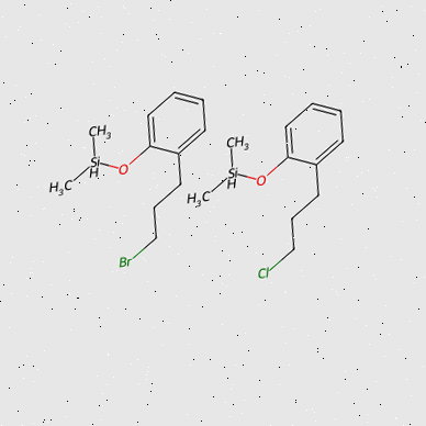 C[SiH](C)Oc1ccccc1CCCBr.C[SiH](C)Oc1ccccc1CCCCl